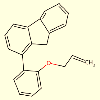 C=CCOc1ccccc1-c1cccc2c1Cc1ccccc1-2